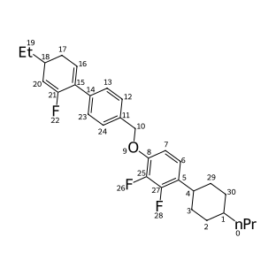 CCCC1CCC(c2ccc(OCc3ccc(C4=CCC(CC)C=C4F)cc3)c(F)c2F)CC1